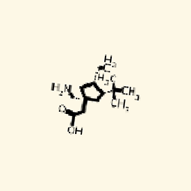 CC[C@H]1C[C@](CN)(CC(=O)O)C[C@H]1C(C)(C)C